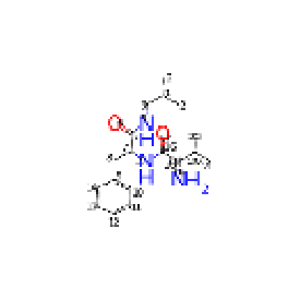 CC(C)CNC(=O)C(Cc1ccccc1)NC(=O)[C@@H](N)C(C)C